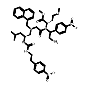 COC(=O)[C@H](CCSC)N(C(=O)CN(Cc1cccc2ccccc12)C[C@H](CC(C)C)NC(=O)NCCc1ccc([N+](=O)[O-])cc1)C(CN)c1ccc([N+](=O)[O-])cc1